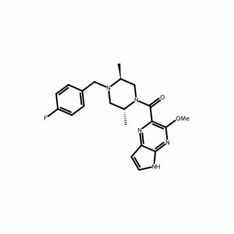 COc1nc2[nH]ccc2nc1C(=O)N1C[C@H](C)N(Cc2ccc(F)cc2)C[C@H]1C